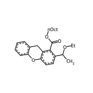 CCCCCCCCOC(=O)c1c(C(C)OCC)ccc2c1Cc1ccccc1O2